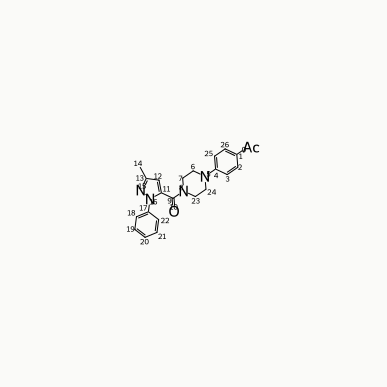 CC(=O)c1ccc(N2CCN(C(=O)c3cc(C)nn3-c3ccccc3)CC2)cc1